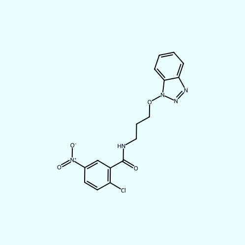 O=C(NCCCOn1nnc2ccccc21)c1cc([N+](=O)[O-])ccc1Cl